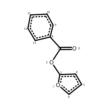 O=C(Oc1cc[c]o1)c1ccccc1